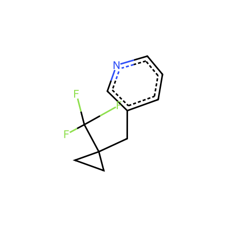 FC(F)(F)C1(Cc2cccnc2)CC1